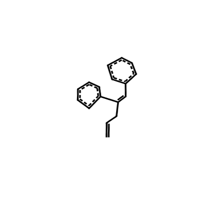 C=CCC(=Cc1ccccc1)c1ccccc1